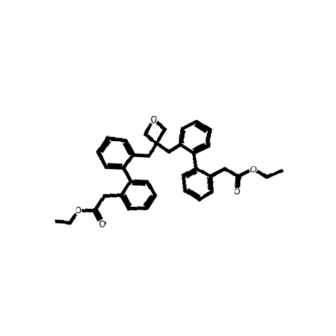 CCOC(=O)Cc1ccccc1-c1ccccc1CC1(Cc2ccccc2-c2ccccc2CC(=O)OCC)COC1